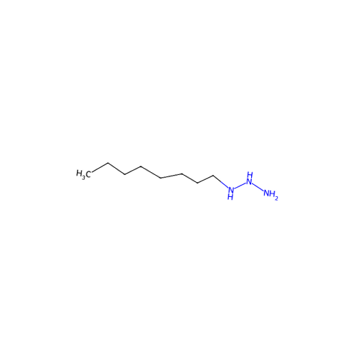 CCCCCCCCNNN